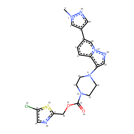 Cn1cc(-c2ccc3c(N4CCN(C(=O)OCc5ncc(Cl)s5)CC4)cnn3c2)cn1